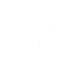 C1=Cc2sccc2CC=N1.CC1Cc2c(ccc3ccccc23)C2=C1CC(c1ccccc1)C=C2